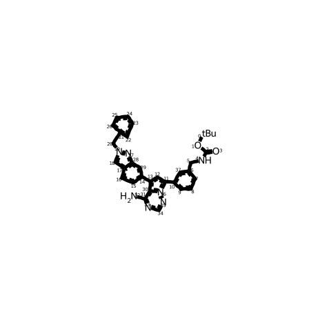 CC(C)(C)OC(=O)NCc1cccc(-c2cc(-c3ccc4cn(Cc5ccccc5)nc4c3)c3c(N)ncnn23)c1